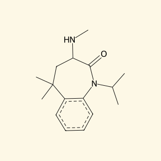 CNC1CC(C)(C)c2ccccc2N(C(C)C)C1=O